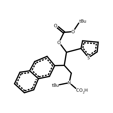 CC(C)(C)OC(=O)OC(c1cccs1)C(CN(C(=O)O)C(C)(C)C)c1ccc2ccccc2c1